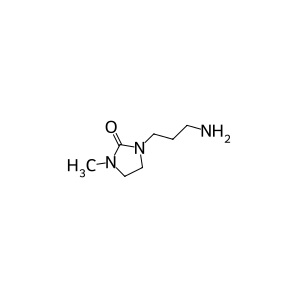 CN1CCN(CCCN)C1=O